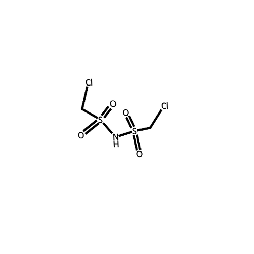 O=S(=O)(CCl)NS(=O)(=O)CCl